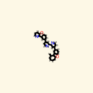 C=C1C=CC=Cc2oc3ccc(-c4ccnc(-c5cc(-c6ccc7oc8cccnc8c7c6)ccn5)c4)cc3c21